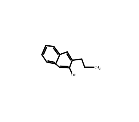 [CH2]CCc1cc2ccccc2cc1O